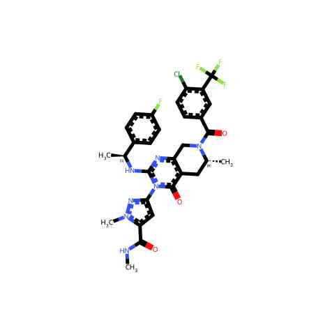 CNC(=O)c1cc(-n2c(N[C@@H](C)c3ccc(F)cc3)nc3c(c2=O)C[C@@H](C)N(C(=O)c2ccc(Cl)c(C(F)(F)F)c2)C3)nn1C